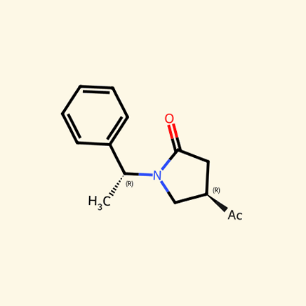 CC(=O)[C@@H]1CC(=O)N([C@H](C)c2ccccc2)C1